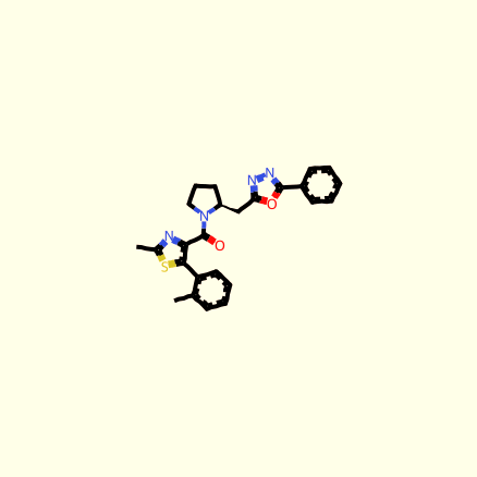 Cc1nc(C(=O)N2CCC[C@H]2Cc2nnc(-c3ccccc3)o2)c(-c2ccccc2C)s1